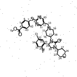 COC(=O)c1ccc(Sc2ncc(CN3CCC(N4C(=O)N(C5CCOCC5)C[C@H]4c4cc(C)ccc4F)CC3)cn2)cc1